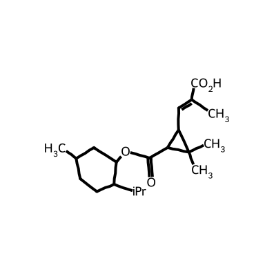 CC(=CC1C(C(=O)OC2CC(C)CCC2C(C)C)C1(C)C)C(=O)O